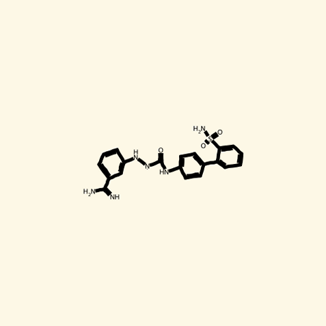 N=C(N)c1cccc(N[N]C(=O)Nc2ccc(-c3ccccc3S(N)(=O)=O)cc2)c1